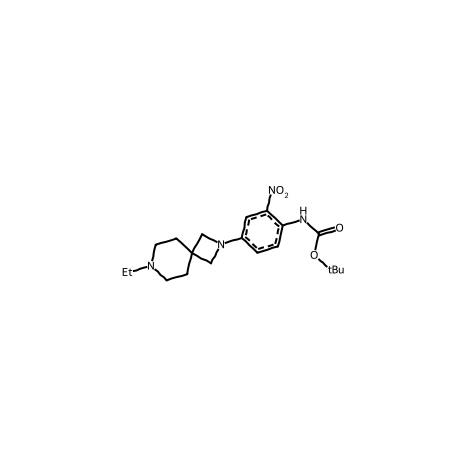 CCN1CCC2(CC1)CN(c1ccc(NC(=O)OC(C)(C)C)c([N+](=O)[O-])c1)C2